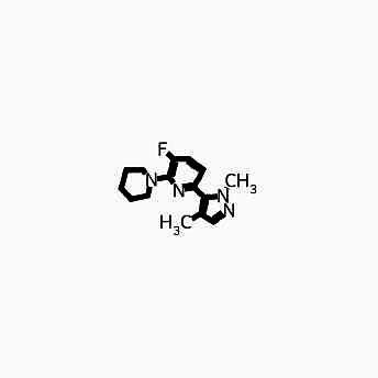 Cc1cnn(C)c1-c1ccc(F)c(N2CCCCC2)n1